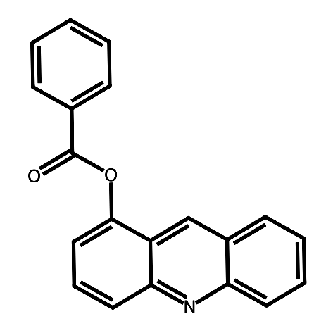 O=C(Oc1cccc2nc3ccccc3cc12)c1ccccc1